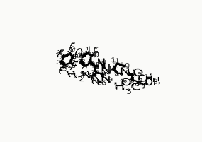 CC(C)(CO)C(=O)C(=O)N1CC[C@@H](n2nc(-c3ccc(Oc4c(F)c(F)cc(F)c4F)cc3F)c3c(N)ncnc32)C1